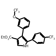 CCOC(=O)c1c[nH]c(-c2ccc(C(F)(F)F)cc2)c1-c1cccc(OC(F)(F)F)c1